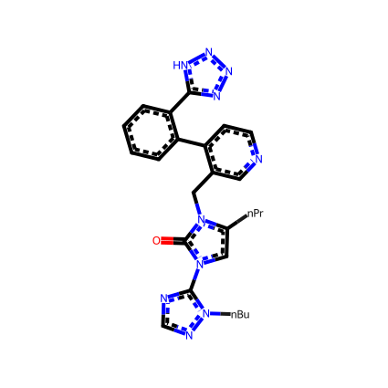 CCCCn1ncnc1-n1cc(CCC)n(Cc2cnccc2-c2ccccc2-c2nnn[nH]2)c1=O